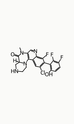 CN1C(=O)[C@H]2CNCCN2c2c1cnc1c(F)c(-c3c(O)ccc(F)c3F)c(Cl)cc21